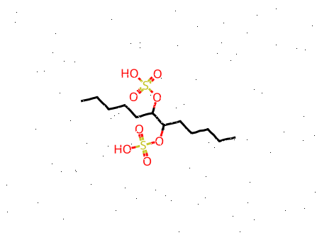 CCCCCC(OS(=O)(=O)O)C(CCCCC)OS(=O)(=O)O